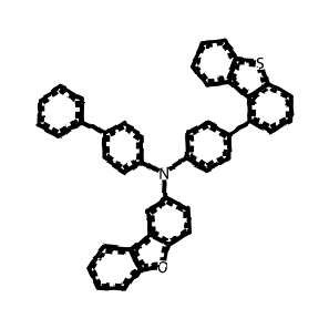 c1ccc(-c2ccc(N(c3ccc(-c4cccc5sc6ccccc6c45)cc3)c3ccc4oc5ccccc5c4c3)cc2)cc1